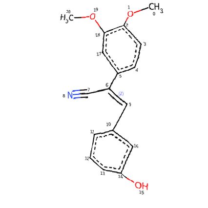 COc1ccc(/C(C#N)=C/c2cccc(O)c2)cc1OC